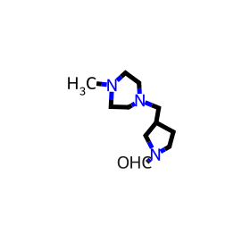 CN1CCN(CC2CCN(C=O)C2)CC1